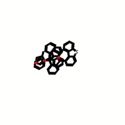 Cc1cscc1-c1c2ccccc2c(-c2cccc3sc4cccc(-c5c6ccccc6c(-c6ccccc6)c6ccccc56)c4c23)c2ccccc12